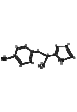 N#Cc1ccc(CC(N)c2cnc[nH]2)cc1